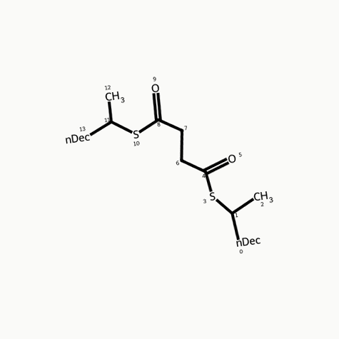 CCCCCCCCCCC(C)SC(=O)CCC(=O)SC(C)CCCCCCCCCC